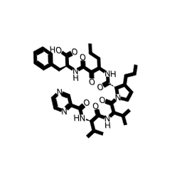 CCCC(NC(=O)[C@@H]1C(CCC)CCN1C(=O)C(NC(=O)[C@@H](NC(=O)c1cnccn1)C(C)C)C(C)C)C(=O)C(=O)N[C@@H](Cc1ccccc1)C(=O)O